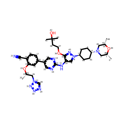 C[C@@H]1CN([C@H]2CC[C@H](n3cc(Nc4ncc(-c5ccc(C#N)c(O[C@@H](C)Cn6cnnn6)c5)cn4)c(OCCC(C)(C)O)n3)CC2)C[C@H](C)O1